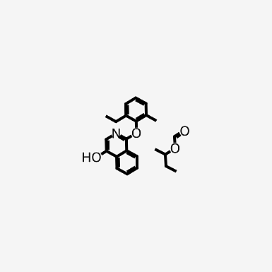 CCC(C)OC=O.CCc1cccc(C)c1Oc1ncc(O)c2ccccc12